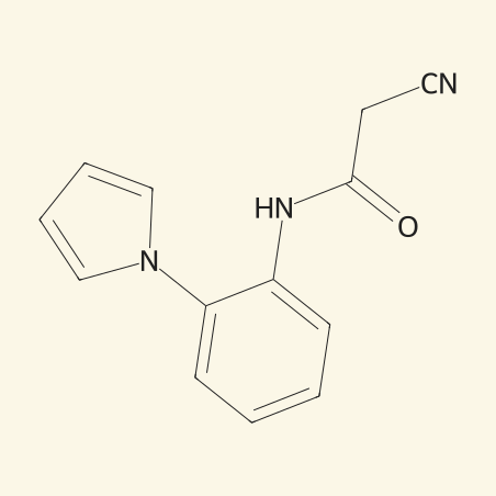 N#CCC(=O)Nc1ccccc1-n1cccc1